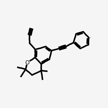 C#CCc1cc(C#Cc2cc[c]cc2)cc2c1OC(C)(C)CC2(C)C